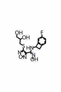 OCC(O)CSc1nonc1/C(=N\O)NC1Cc2ccc(F)cc21